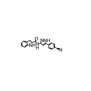 N#Cc1ccc(-c2cc(NC(=O)C3Cc4ccccc4N3)n[nH]2)cc1